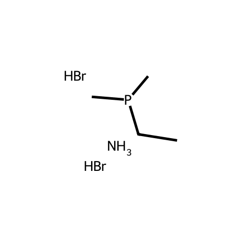 Br.Br.CCP(C)C.N